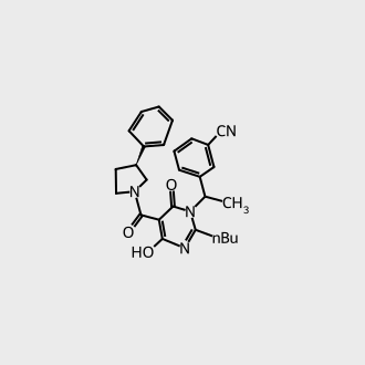 CCCCc1nc(O)c(C(=O)N2CC[C@@H](c3ccccc3)C2)c(=O)n1C(C)c1cccc(C#N)c1